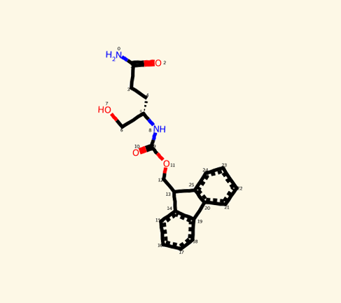 NC(=O)CC[C@@H](CO)NC(=O)OCC1c2ccccc2-c2ccccc21